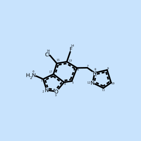 Nc1noc2cc(Cn3cccn3)c(F)c(Cl)c12